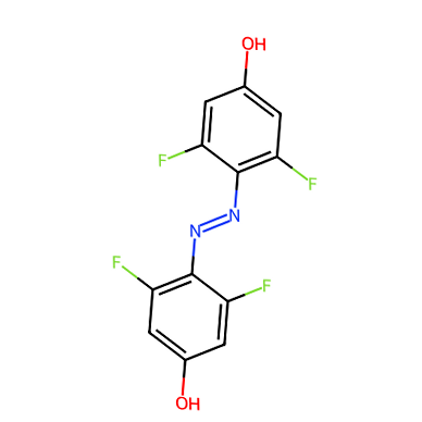 Oc1cc(F)c(N=Nc2c(F)cc(O)cc2F)c(F)c1